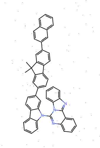 CC1(C)c2cc(-c3ccc4ccccc4c3)ccc2-c2ccc(-c3ccc4c5ccccc5n(-c5nc6ccccc6c6nc7ccccc7n56)c4c3)cc21